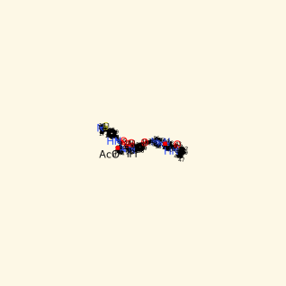 CC(=O)O[C@@H]1C[C@@H](C(=O)NCc2ccc(-c3scnc3C)cc2)N(C(=O)[C@H](C(C)C)N2Cc3ccc(OCCN4CCN(c5ccc(C(=O)NC6C(C)(C)CC6(C)C)cn5)CC4)cc3C2=O)C1